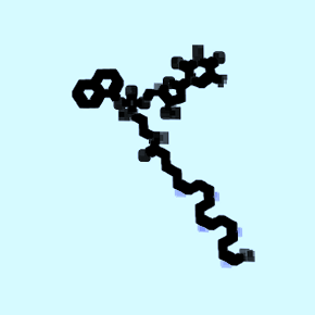 CC/C=C\C/C=C\C/C=C\C/C=C\C/C=C\CCCC(=O)NCCNP(=O)(OC[C@H]1OC(n2cc(F)c(=O)[nH]c2=O)C[C@@H]1O)Oc1cccc2ccccc12